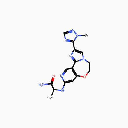 CC(C)n1ncnc1-c1cn2c(n1)-c1cnc(N[C@@H](C)C(N)=O)cc1OCC2